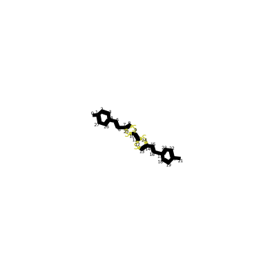 Cc1ccc(/C=C/C2=CS/C(=C3/SC=C(/C=C/c4ccc(C)cc4)S3)S2)cc1